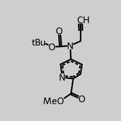 C#CCN(C(=O)OC(C)(C)C)c1ccc(C(=O)OC)nc1